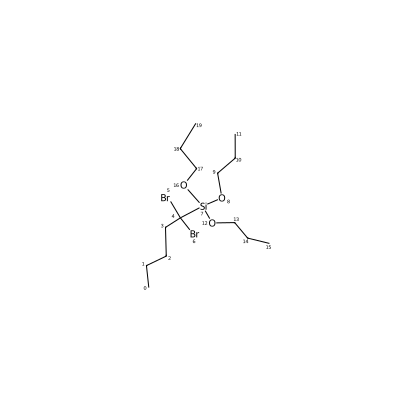 CCCCC(Br)(Br)[Si](OCCC)(OCCC)OCCC